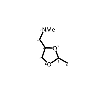 CNCC1COC(C)O1